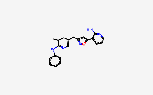 CC1CC(Cc2cc(-c3cccnc3N)on2)=CN=C1Nc1ccccc1